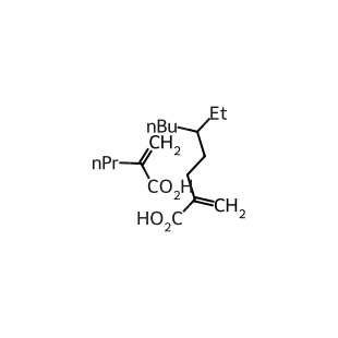 C=C(CCC(CC)CCCC)C(=O)O.C=C(CCC)C(=O)O